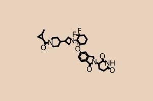 CC1CC1C(=O)N1CCC(C2CN([C@@H]3[C@@H](Oc4ccc5c(c4)CN(C4CCC(=O)NC4=O)C5=O)CCCC3(F)F)C2)CC1